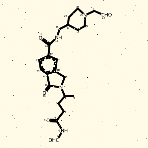 CC(CCC(=O)NC=O)N1Cc2cc(C(=O)NCC3CCN(CC=O)CC3)ccc2C1=O